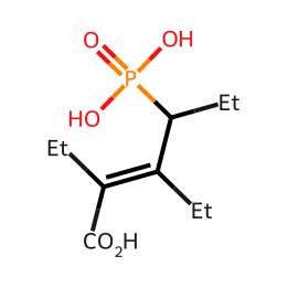 CCC(C(=O)O)=C(CC)C(CC)P(=O)(O)O